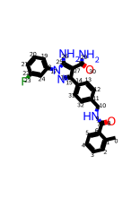 Cc1ccccc1C(=O)NCc1ccc(-c2nn(-c3cccc(F)c3)c(N)c2C(N)=O)cc1